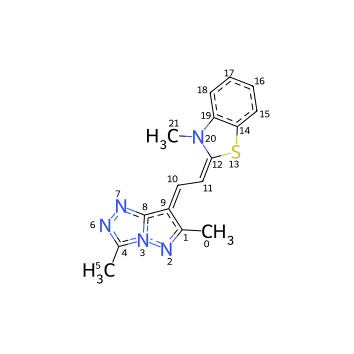 Cc1nn2c(C)nnc2c1=CC=C1Sc2ccccc2N1C